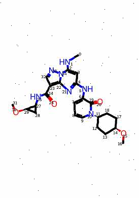 CNc1cc(Nc2cccn([C@H]3CC[C@H](OC)CC3)c2=O)nc2c(C(=O)NC3C[C@H]3OC)cnn12